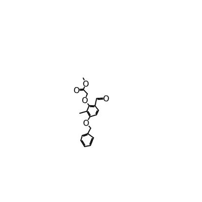 COC(=O)COc1c(C=O)ccc(OCc2ccccc2)c1C